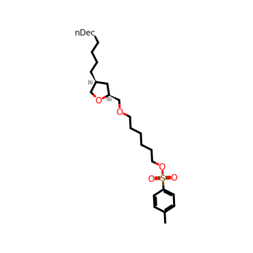 CCCCCCCCCCCCCC[C@@H]1CO[C@H](COCCCCCCOS(=O)(=O)c2ccc(C)cc2)C1